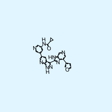 O=C(Nc1cncc(-c2cnc3[nH]nc(-c4nc5c(-c6ccoc6)cncc5[nH]4)c3c2)c1)C1CC1